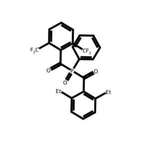 CCc1cccc(CC)c1C(=O)P(=O)(C(=O)c1c(C(F)(F)F)cccc1C(F)(F)F)c1ccccc1